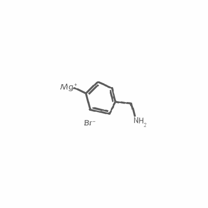 NCc1cc[c]([Mg+])cc1.[Br-]